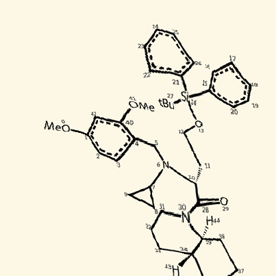 COc1ccc(CN(C2CC2)[C@H](CCO[Si](c2ccccc2)(c2ccccc2)C(C)(C)C)C(=O)N2CCC[C@H]3CCCC[C@@H]32)c(OC)c1